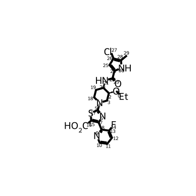 CCO[C@H]1CN(c2nc(-c3ncccc3F)c(C(=O)O)s2)CC[C@H]1NC(=O)c1cc(Cl)c(C)[nH]1